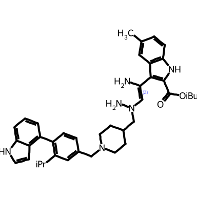 Cc1ccc2[nH]c(C(=O)OCC(C)C)c(/C(N)=C/N(N)CC3CCN(Cc4ccc(-c5cccc6[nH]ccc56)c(C(C)C)c4)CC3)c2c1